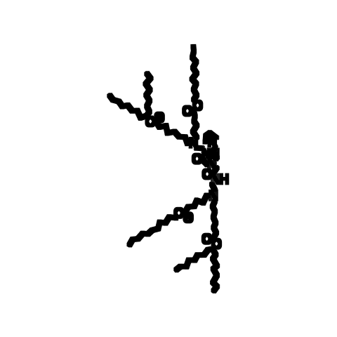 CCCCCCCCCCCOC(=O)CCCCCN(CCCCCCCC(=O)OC(CCCCCCCC)CCCCCCCC)CCNC(=O)CN(CCCN1CCCC1)CC(=O)NCCN(CCCCCCCC(=O)OC(CCCCCCCC)CCCCCCCC)CCCCCC(=O)OCCCCCCCCCCC